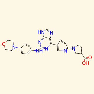 O=C(O)C1CCN(c2ccc(-c3nc(Nc4ccc(N5CCOCC5)cc4)nc4[nH]cnc34)cn2)C1